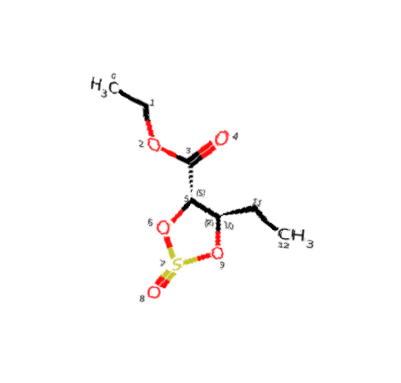 CCOC(=O)[C@H]1OS(=O)O[C@@H]1CC